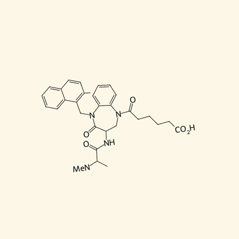 CNC(C)C(=O)NC1CN(C(=O)CCCCC(=O)O)c2ccccc2N(Cc2c(C)ccc3ccccc23)C1=O